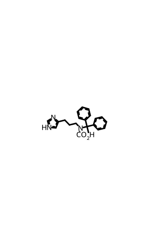 CC(c1ccccc1)(c1ccccc1)N(CCCc1c[nH]cn1)C(=O)O